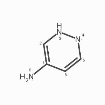 NC1=CN[N]C=C1